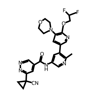 Cc1ncc(NC(=O)c2cnnc(C3(C#N)CC3)c2)cc1-c1cnc(OCC(F)F)c(N2CCOCC2)c1